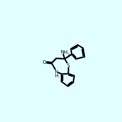 NC1(c2ccccc2)CC(=O)Nc2ccccc2S1